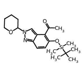 CC(=O)c1c(O[Si](C)(C)C(C)(C)C)ccc2nn(C3CCCCO3)cc12